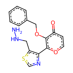 NNCc1scnc1-c1occc(=O)c1OCc1ccccc1